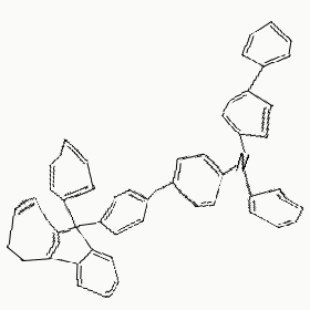 C1=CC2=C(CC1)c1ccccc1C2(c1ccccc1)c1ccc(-c2ccc(N(c3ccccc3)c3ccc(-c4ccccc4)cc3)cc2)cc1